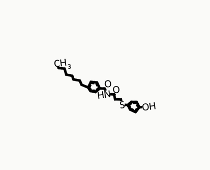 CCCCCCCCc1ccc(C(=O)NC(=O)CCSc2ccc(O)cc2)cc1